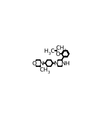 CC(C)Oc1ccccc1C1CN(C2CCC(N3CCOCC3C)CC2)CCN1